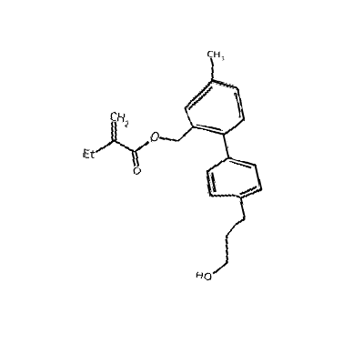 C=C(CC)C(=O)OCc1cc(C)ccc1-c1ccc(CCCO)cc1